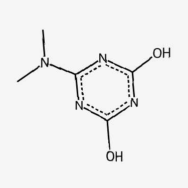 CN(C)c1nc(O)nc(O)n1